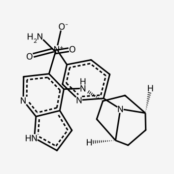 NC(=O)c1cnc2[nH]ccc2c1N[C@@H]1C[C@H]2CC[C@@H](C1)N2c1ccc([N+](=O)[O-])cn1